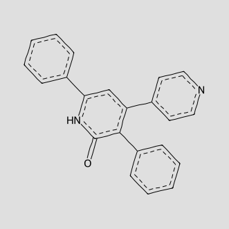 O=c1[nH]c(-c2ccccc2)cc(-c2ccncc2)c1-c1ccccc1